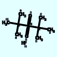 CC(C)(C)S(=O)(=O)C(C)(C)C.F